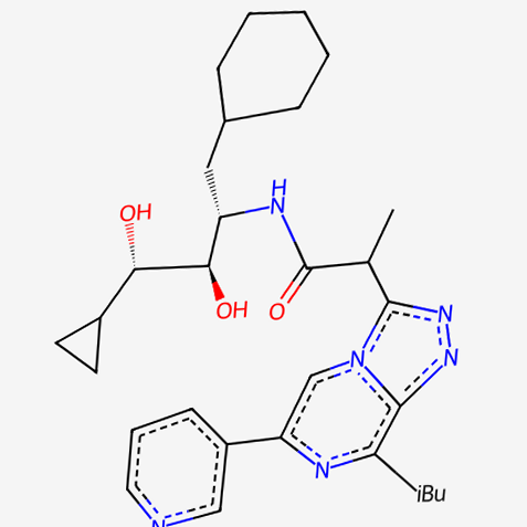 CCC(C)c1nc(-c2cccnc2)cn2c(C(C)C(=O)N[C@@H](CC3CCCCC3)[C@@H](O)[C@@H](O)C3CC3)nnc12